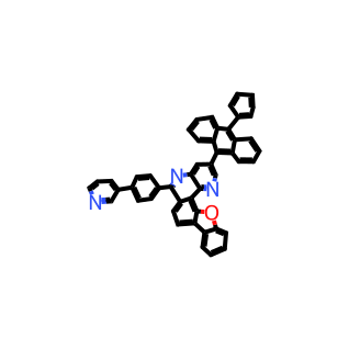 c1ccc(-c2c3ccccc3c(-c3cnc4c(c3)nc(-c3ccc(-c5cccnc5)cc3)c3ccc5c6ccccc6oc5c34)c3ccccc23)cc1